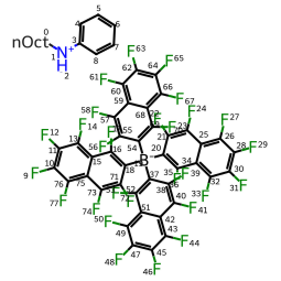 CCCCCCCC[NH+](C)c1ccccc1.Fc1c(F)c(F)c2c(F)c([B-](c3c(F)c(F)c4c(F)c(F)c(F)c(F)c4c3F)(c3c(F)c(F)c4c(F)c(F)c(F)c(F)c4c3F)c3c(F)c(F)c4c(F)c(F)c(F)c(F)c4c3F)c(F)c(F)c2c1F